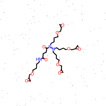 O=C(CCC(=O)N(CCCCOCC1CO1)N(CCCCOCC1CO1)CCCCOCC1CO1)NCCCCOCC1CO1